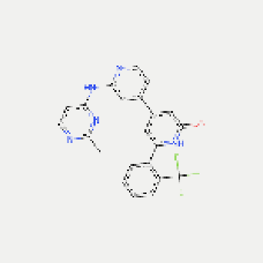 Cc1nccc(Nc2cc(-c3cc(-c4ccccc4C(F)(F)F)[nH]c(=O)c3)ccn2)n1